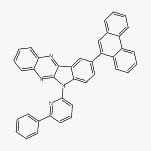 c1ccc(-c2cccc(-n3c4ccc(-c5cc6ccccc6c6ccccc56)cc4c4nc5ccccc5nc43)n2)cc1